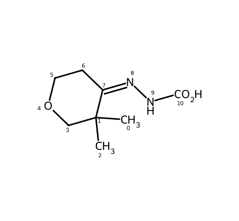 CC1(C)COCCC1=NNC(=O)O